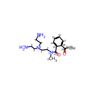 CN(CCN(CCN)CCN)C(=O)c1ccccc1C(=O)C(C)(C)C